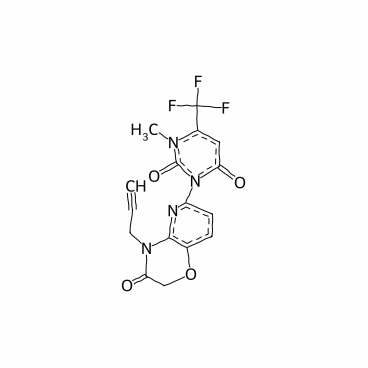 C#CCN1C(=O)COc2ccc(-n3c(=O)cc(C(F)(F)F)n(C)c3=O)nc21